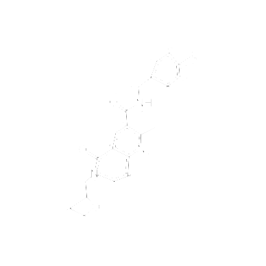 Cc1nc2ccn(CC3CCO3)c(=O)c2cc1C(=O)NCc1ccc(Cl)cc1